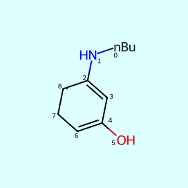 CCCCNC1=CC(O)=CC[CH]1